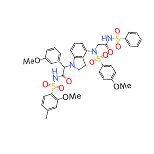 COc1ccc(S(=O)(=O)N(CC(=O)NS(=O)(=O)c2ccccc2)c2cccc3c2CCN3C(C(=O)NS(=O)(=O)c2ccc(C)cc2OC)c2cccc(OC)c2)cc1